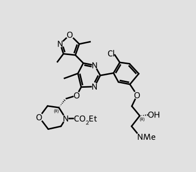 CCOC(=O)N1CCOC[C@@H]1COc1nc(-c2cc(OC[C@H](O)CNC)ccc2Cl)nc(-c2c(C)noc2C)c1C